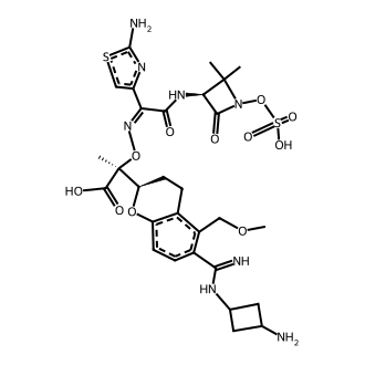 COCc1c(C(=N)NC2CC(N)C2)ccc2c1CC[C@H]([C@](C)(O/N=C(\C(=O)N[C@@H]1C(=O)N(OS(=O)(=O)O)C1(C)C)c1csc(N)n1)C(=O)O)O2